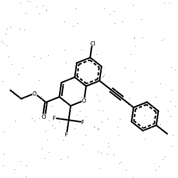 CCOC(=O)C1=Cc2cc(Cl)cc(C#Cc3ccc(C)cc3)c2OC1C(F)(F)F